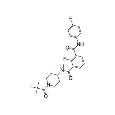 CC(C)(C)C(=O)N1CCC(NC(=O)c2cccc(C(=O)Nc3ccc(F)cc3)c2F)CC1